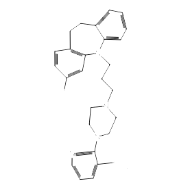 Cc1ccc2c(c1)N(CCCN1CCN(c3ncccc3C(=O)O)CC1)c1ccccc1CC2